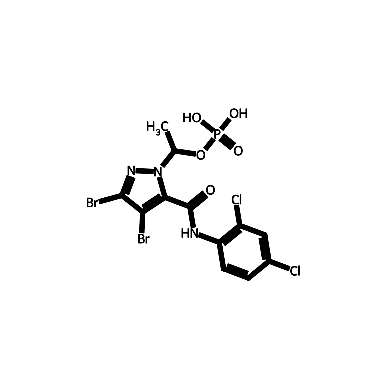 CC(OP(=O)(O)O)n1nc(Br)c(Br)c1C(=O)Nc1ccc(Cl)cc1Cl